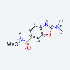 CON(C)C(=O)c1ccc2nc(N(C)C)oc2c1